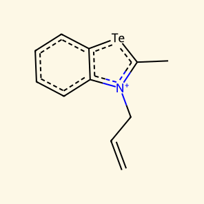 C=CC[n+]1c(C)[te]c2ccccc21